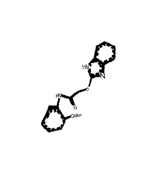 COc1ccccc1NC(=O)CSc1nc2ccccc2[nH]1